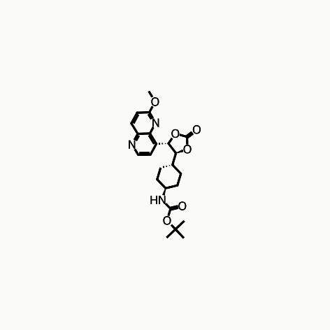 COc1ccc2nccc([C@@H]3OC(=O)O[C@H]3[C@H]3CC[C@H](NC(=O)OC(C)(C)C)CC3)c2n1